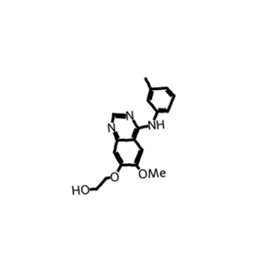 COc1cc2c(Nc3cccc(C)c3)ncnc2cc1OCCO